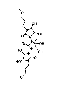 COCCCN1C(=O)N(N2C(=O)N(N3C(=O)N(CCCOC)C(O)C3O)C(C)(O)C2O)C(O)C1O